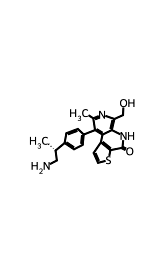 Cc1nc(CO)c2[nH]c(=O)c3sccc3c2c1-c1ccc([C@@H](C)CN)cc1